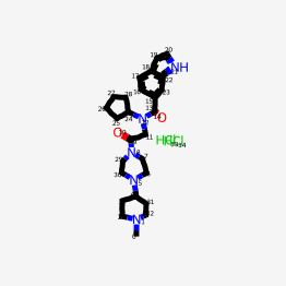 CN1CCC(N2CCN(C(=O)CN(C(=O)c3ccc4cc[nH]c4c3)C3CCCC3)CC2)CC1.Cl.Cl